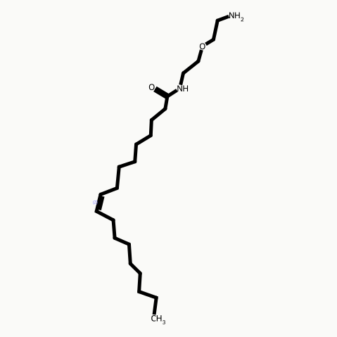 CCCCCCCC/C=C\CCCCCCCC(=O)NCCOCCN